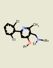 CCCCN(CC)Cc1c(OC(C)C)cc(-c2c(CC)cccc2CC)nc1C